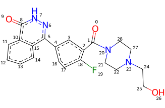 O=C(c1cc(-c2n[nH]c(=O)c3ccccc23)ccc1F)N1CCN(CCO)CC1